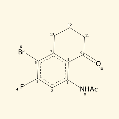 CC(=O)Nc1cc(F)c(Br)c2c1C(=O)CCC2